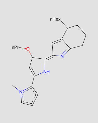 CCCCCCC1CCCC2=NC(=C3NC(c4cccn4C)=CC3OCCC)C=C21